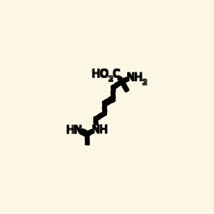 CC(=N)NCCC=CCC(C)(N)C(=O)O